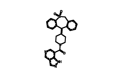 O=C(c1cncc2cn[nH]c12)N1CCC(=C2c3ccccc3CS(=O)(=O)c3ccccc32)CC1